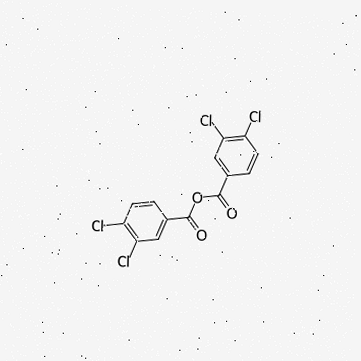 O=C(OC(=O)c1ccc(Cl)c(Cl)c1)c1ccc(Cl)c(Cl)c1